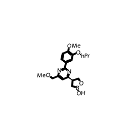 CCCOc1cc(-c2nc(COC)cc([C@H]3COB(O)C3)n2)ccc1OC